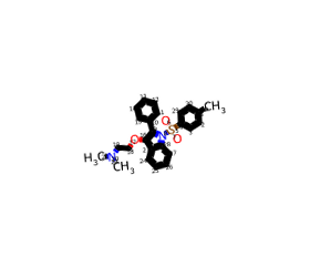 Cc1ccc(S(=O)(=O)n2c(-c3ccccc3)c(OCCN(C)C)c3ccccc32)cc1